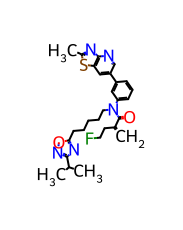 C=C(CCF)C(=O)N(CCCCCc1nc(C(C)C)no1)c1cccc(-c2cnc3nc(C)sc3c2)c1